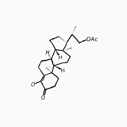 CC(=O)OC[C@@H](C)[C@H]1CC[C@H]2[C@@H]3CCC4=C(Cl)C(=O)CC[C@]4(C)[C@H]3CC[C@]12C